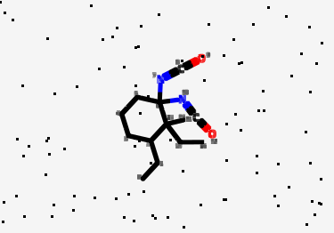 CCC1CCCC(N=C=O)(N=C=O)C1(C)CC